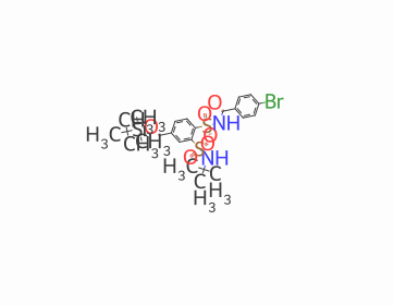 CC(C)(C)NS(=O)(=O)c1cc(CO[Si](C)(C)C(C)(C)C)ccc1S(=O)(=O)NC(=O)c1ccc(Br)cc1